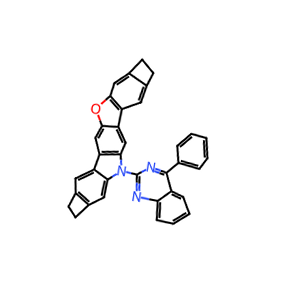 c1ccc(-c2nc(-n3c4cc5c(cc4c4cc6oc7cc8c(cc7c6cc43)CC8)CC5)nc3ccccc23)cc1